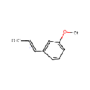 CCOc1cccc(/C=C/C=O)c1